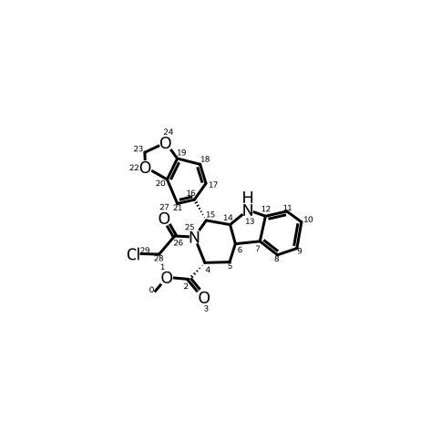 COC(=O)[C@H]1CC2c3ccccc3NC2[C@@H](c2ccc3c(c2)OCO3)N1C(=O)CCl